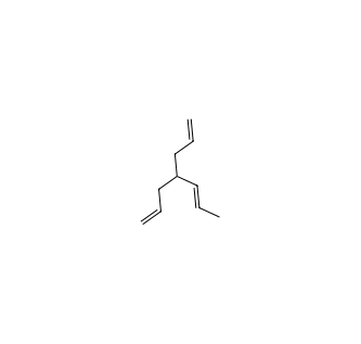 C=CCC(C=CC)CC=C